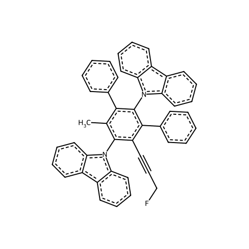 Cc1c(-c2ccccc2)c(-n2c3ccccc3c3ccccc32)c(-c2ccccc2)c(C#CCF)c1-n1c2ccccc2c2ccccc21